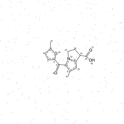 Cc1ccc(C(=O)c2c(C)cc3n2CCC3C(=O)O)o1